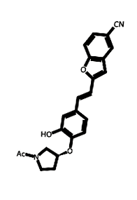 CC(=O)N1CC[C@H](Oc2ccc(/C=C/c3cc4cc(C#N)ccc4o3)cc2O)C1